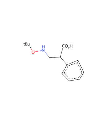 CC(C)(C)ONCC(C(=O)O)c1ccccc1